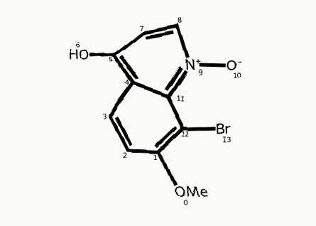 COc1ccc2c(O)cc[n+]([O-])c2c1Br